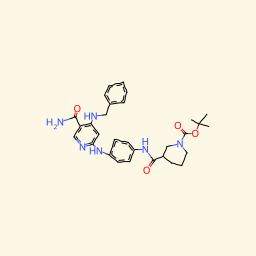 CC(C)(C)OC(=O)N1CCCC(C(=O)Nc2ccc(Nc3cc(NCc4ccccc4)c(C(N)=O)cn3)cc2)C1